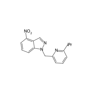 CC(C)c1cccc(Cn2ncc3c([N+](=O)[O-])cccc32)n1